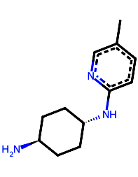 Cc1ccc(N[C@H]2CC[C@H](N)CC2)nc1